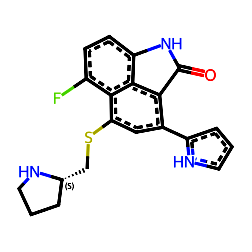 O=C1Nc2ccc(F)c3c(SC[C@@H]4CCCN4)cc(-c4ccc[nH]4)c1c23